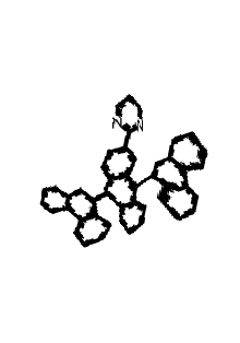 c1cnc(-c2ccc3c(-c4cc5ccccc5c5ccccc45)c4ccccc4c(-c4cc5ccccc5c5ccccc45)c3c2)nc1